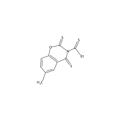 CCC(=S)n1c(=S)oc2ccc(C)cc2c1=S